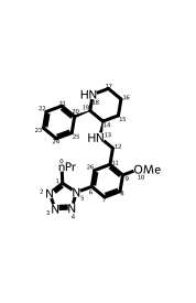 CCCc1nnnn1-c1ccc(OC)c(CN[C@@H]2CCCN[C@@H]2c2ccccc2)c1